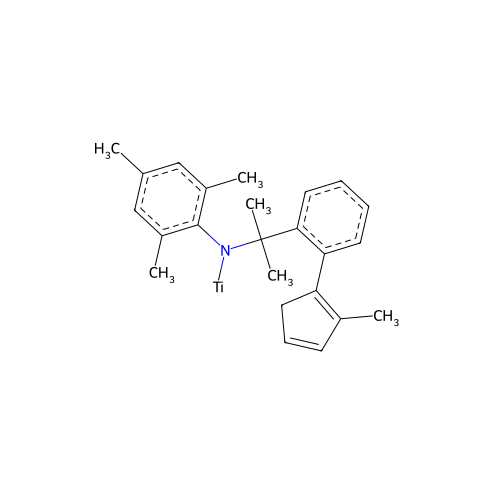 CC1=C(c2ccccc2C(C)(C)[N]([Ti])c2c(C)cc(C)cc2C)CC=C1